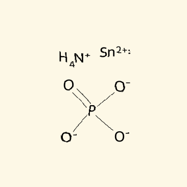 O=P([O-])([O-])[O-].[NH4+].[Sn+2]